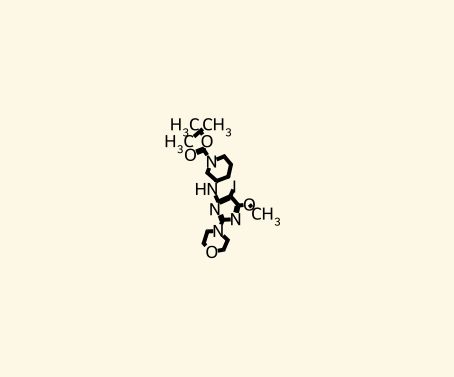 COc1nc(N2CCOCC2)nc(NC2CCCN(C(=O)OC(C)(C)C)C2)c1I